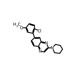 COc1ccc(Cl)c(-c2ccc3ncc(N4CCCCC4)nc3c2)c1